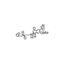 COc1cc2[nH]c(NCCCC(=O)NCc3ccco3)cc(=O)c2cc1-c1cnco1